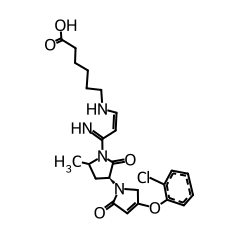 CC1C[C@H](N2CC(Oc3ccccc3Cl)=CC2=O)C(=O)N1C(=N)/C=C\NCCCCCC(=O)O